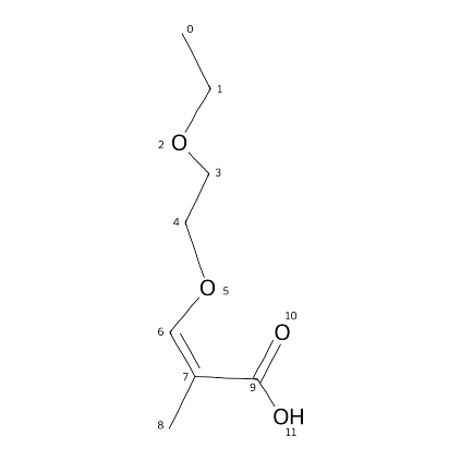 CCOCCOC=C(C)C(=O)O